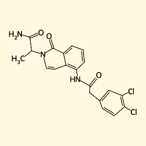 CC(C(N)=O)n1ccc2c(NC(=O)Cc3ccc(Cl)c(Cl)c3)cccc2c1=O